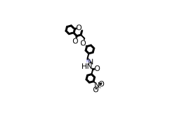 O=C(N/N=C/c1cccc(OCc2coc3ccccc3c2=O)c1)c1cccc([N+](=O)[O-])c1